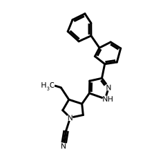 CCC1CN(C#N)CC1c1cc(-c2cccc(-c3ccccc3)c2)n[nH]1